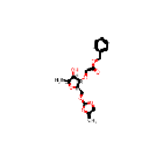 B[C@@H]1O[C@H](COC2OCC(C)O2)[C@H](OCC(=O)OCc2ccccc2)[C@@H]1O